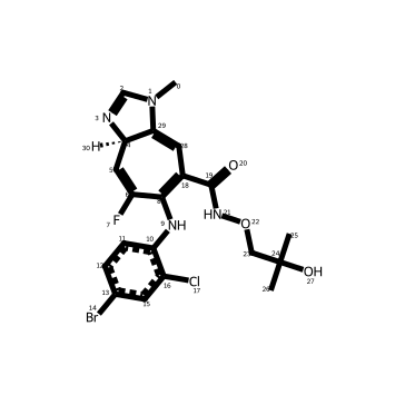 CN1C=N[C@@H]2C=C(F)C(Nc3ccc(Br)cc3Cl)=C(C(=O)NOCC(C)(C)O)C=C21